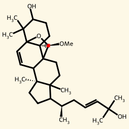 CO[C@@H]1OC23C=CC4C1(CCC1(C)C([C@H](C)C/C=C/C(C)(C)O)CC[C@@]41C)[C@@H]2CCC(O)C3(C)C